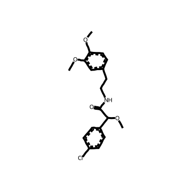 COc1ccc(CCNC(=O)C(OC)c2ccc(Cl)cc2)cc1OC